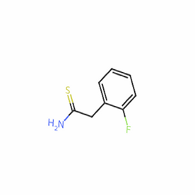 NC(=S)Cc1ccccc1F